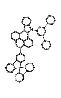 c1ccc(-c2cc(-c3ccccc3)cc(-n3c4ccccc4c4c5cccc6cc(-c7ccc8c(c7)-c7ccccc7C87c8ccccc8-c8ccccc87)c7cccc(c7c65)c43)c2)cc1